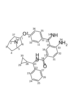 CN1C2CCC1CC(Oc1ccc(C(=N)c3cc(C(=O)NC(c4ccccc4)C4CC4)ccc3N)cc1)C2